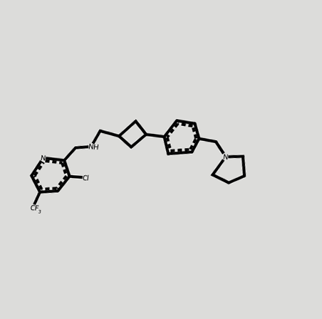 FC(F)(F)c1cnc(CNCC2CC(c3ccc(CN4CCCC4)cc3)C2)c(Cl)c1